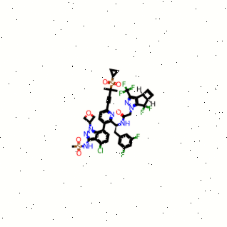 CC(C)(C#Cc1ccc(-c2ccc(Cl)c3c(NS(C)(=O)=O)nn(C4COC4)c23)c([C@H](Cc2cc(F)cc(F)c2)NC(=O)Cn2nc(C(F)(F)F)c3c2C(F)(F)[C@@H]2C=C[C@H]32)n1)S(=O)(=O)C1CC1